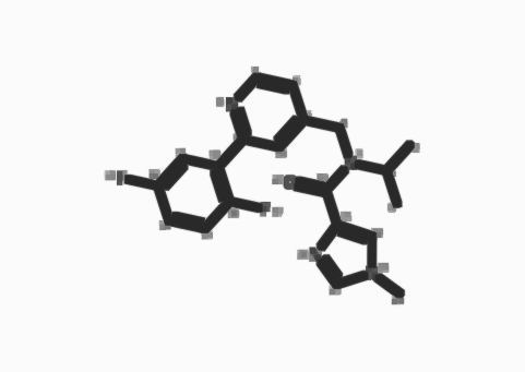 CC(C)N(Cc1ccnc(-c2cc(F)ccc2F)c1)C(=O)c1cn(C)cn1